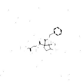 CC1CCC(C(=O)NCC(N)=O)(C(=O)OCc2ccccc2)C1(C)C